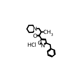 CC(CN1CCCCC1)C(=O)c1cc(Cc2ccccc2)no1.Cl